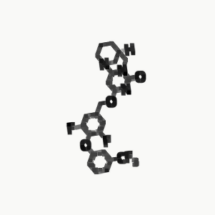 O=c1nc(OCc2cc(F)c(Oc3cccc(C(F)(F)F)c3)c(F)c2)cc2n1C[C@@H]1CCCN2C1